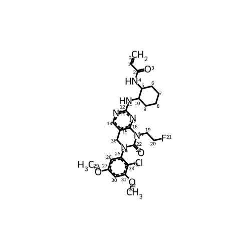 C=CC(=O)NC1CCCCC1Nc1ncc2c(n1)N(CCF)C(=O)N(c1cc(OC)cc(OC)c1Cl)C2